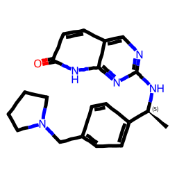 C[C@H](Nc1ncc2ccc(=O)[nH]c2n1)c1ccc(CN2CCCC2)cc1